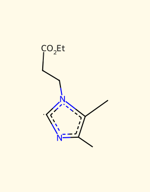 CCOC(=O)CCn1[c]nc(C)c1C